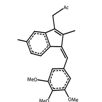 COc1cc(/C=C2/C(C)=C(CC(C)=O)c3cc(C)ccc32)cc(OC)c1OC